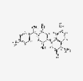 CC[C@H]1CN(C(C)c2ccc(C(F)(F)F)cc2)[C@H](CC)CN1c1nc(=O)n(C)c2ccc(O)nc12